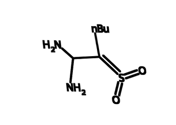 CCCCC(C(N)N)=S(=O)=O